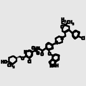 CC1(C)CC(c2ccc(Cl)cc2)=C(CN2CCN(c3ccc(C(=O)NS(=O)(=O)c4cnc(OC[C@H]5CC[C@](C)(O)CC5)c(Cl)c4)c(Oc4cccc5[nH]ncc45)c3)CC2)CO1